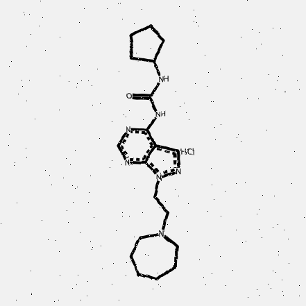 Cl.O=C(Nc1ncnc2c1cnn2CCN1CCCCCC1)NC1CCCC1